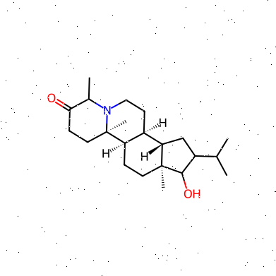 CC(C)C1C[C@H]2[C@@H]3CCN4C(C)C(=O)CC[C@]4(C)[C@@H]3CC[C@]2(C)C1O